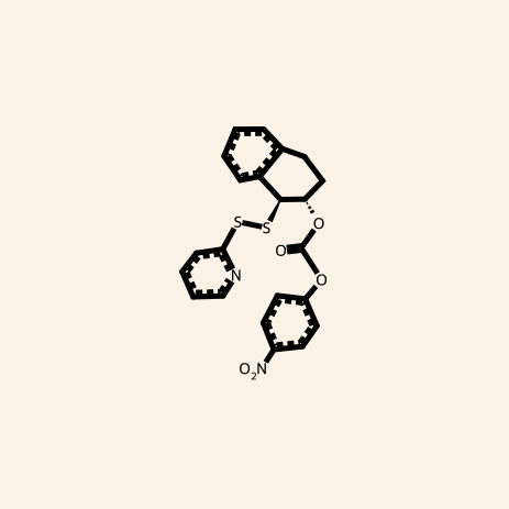 O=C(Oc1ccc([N+](=O)[O-])cc1)O[C@H]1CCc2ccccc2[C@@H]1SSc1ccccn1